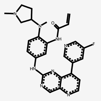 C=CC(=O)Nc1cc(Nc2ncc3nccc(-c4cncc(F)c4)c3n2)ccc1N(C)C1CCN(C)C1